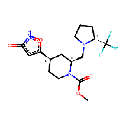 COC(=O)N1CC[C@@H](c2cc(=O)[nH]o2)C[C@H]1CN1CCC[C@@H]1C(F)(F)F